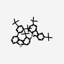 CC(C)(C)c1cc(-c2cccc3sc4ccc(-n5c6ccc(C(C)(C)C)cc6c6cc(C(C)(C)C)ccc65)c(C(C)(C)C)c4c23)cc(C(C)(C)C)c1